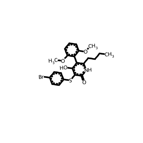 CCCCc1[nH]c(=O)c(Sc2ccc(Br)cc2)c(O)c1-c1c(OC)cccc1OC